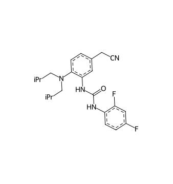 CC(C)CN(CC(C)C)c1ccc(CC#N)cc1NC(=O)Nc1ccc(F)cc1F